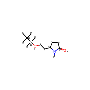 CN1C(=O)CCC1CCO[Si](C)(C)C(C)(C)C